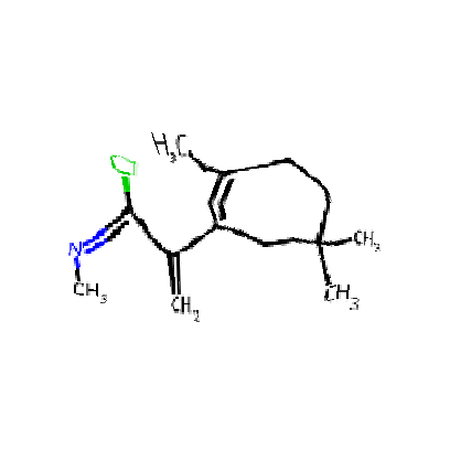 C=C(C1=C(C)CCC(C)(C)C1)/C(Cl)=N\C